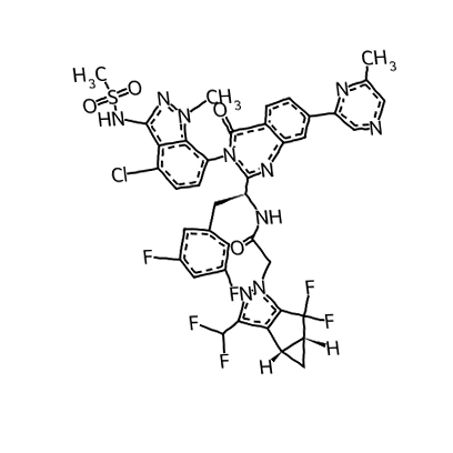 Cc1cncc(-c2ccc3c(=O)n(-c4ccc(Cl)c5c(NS(C)(=O)=O)nn(C)c45)c([C@H](Cc4cc(F)cc(F)c4)NC(=O)Cn4nc(C(F)F)c5c4C(F)(F)[C@@H]4C[C@H]54)nc3c2)n1